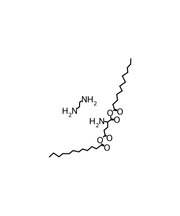 CCCCCCCCCCCC(=O)OC(=O)CCC(N)C(=O)OC(=O)CCCCCCCCCCC.NCCN